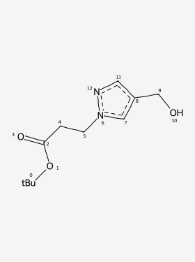 CC(C)(C)OC(=O)CCn1cc(CO)cn1